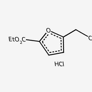 CCOC(=O)c1ccc(CCl)o1.Cl